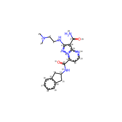 CN(C)CCNc1nn2c(C(=O)NC3Cc4ccccc4C3)ccnc2c1C(N)=O